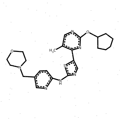 Cc1cnc(OC2CCCCC2)nc1-c1cnc(Nc2ccc(CN3CCOCC3)cn2)s1